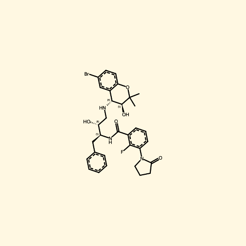 CC1(C)Oc2ccc(Br)cc2[C@@H](NC[C@@H](O)[C@H](Cc2ccccc2)NC(=O)c2cccc(N3CCCC3=O)c2F)[C@@H]1O